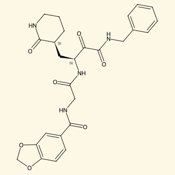 O=C(CNC(=O)c1ccc2c(c1)OCO2)N[C@@H](C[C@@H]1CCCNC1=O)C(=O)C(=O)NCc1ccccc1